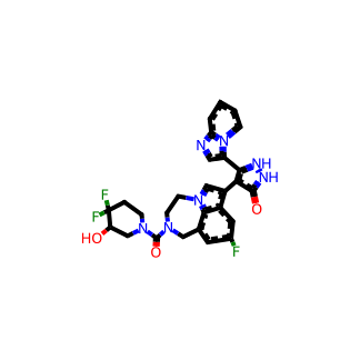 O=C(N1CCn2cc(-c3c(-c4cnc5ccccn45)[nH][nH]c3=O)c3cc(F)cc(c32)C1)N1CCC(F)(F)C(O)C1